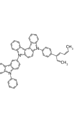 C=C/C(=C\C=C/C)c1ccc(-n2c3ccccc3c3c4c5ccccc5n(-c5ccc6c(c5)c5ccccc5n6-c5ccccc5)c4ccc32)cc1